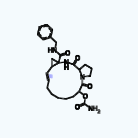 NC(=O)OC1CCCCC/C=C/C2CC2(C(=O)NCc2ccccc2)NC(=O)C2CCCN2C1=O